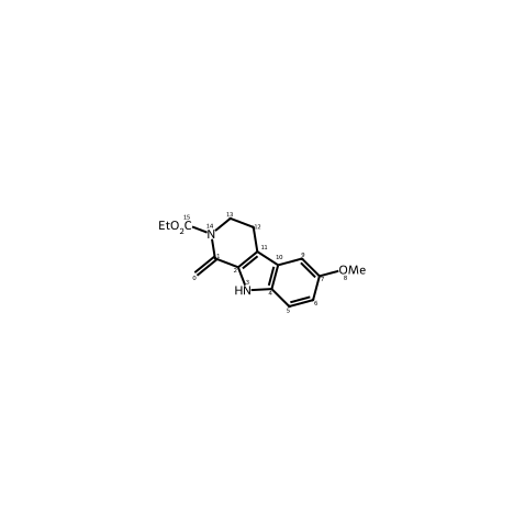 C=C1c2[nH]c3ccc(OC)cc3c2CCN1C(=O)OCC